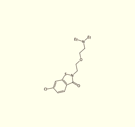 CCN(CC)CCOCCn1sc2cc(Cl)ccc2c1=O